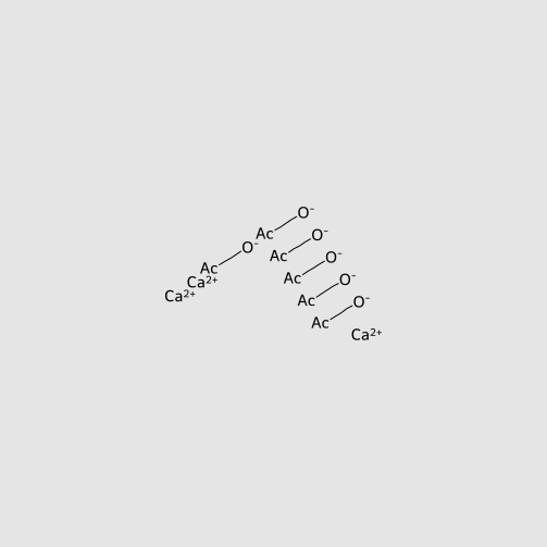 CC(=O)[O-].CC(=O)[O-].CC(=O)[O-].CC(=O)[O-].CC(=O)[O-].CC(=O)[O-].[Ca+2].[Ca+2].[Ca+2]